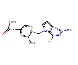 COC(=O)c1ccc(Cn2ccc3nc(N)nc(Cl)c32)c(OC)c1